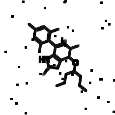 CCCC(CCC)OC1c2cc(C)[nH]c2C(c2c(C)cc(C)cc2C)=NC1C